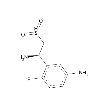 Nc1ccc(F)c([C@@H](N)C[SH](=O)=O)c1